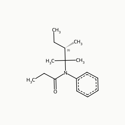 CCC(=O)N(c1ccccc1)C(C)(C)[C@@H](C)CC